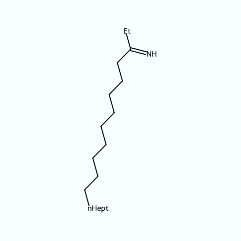 CCCCCCCCCCCCCCCCC(=N)CC